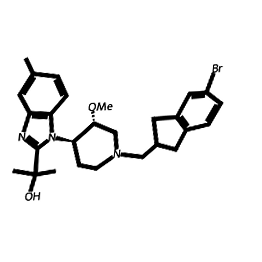 CO[C@@H]1CN(CC2Cc3ccc(Br)cc3C2)CC[C@H]1n1c(C(C)(C)O)nc2cc(C)ccc21